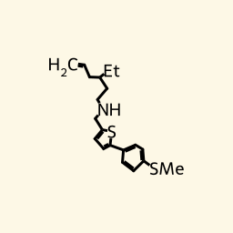 C=CCC(CC)CCNCc1ccc(-c2ccc(SC)cc2)s1